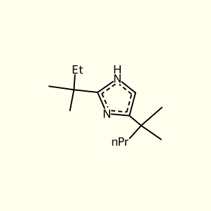 CCCC(C)(C)c1c[nH]c(C(C)(C)CC)n1